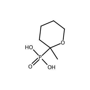 CC1(P(=O)(O)O)CCCCO1